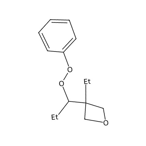 CCC(OOc1ccccc1)C1(CC)COC1